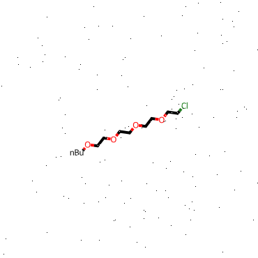 CCCCOCCOCCOCCOCCCl